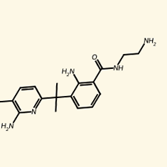 CC(C)c1ccc(C(C)(C)c2cccc(C(=O)NCCN)c2N)nc1N